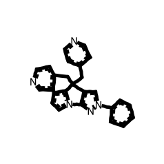 c1ccc(-n2cc3c(n2)-n2cccc2C3(Cc2ccncc2)Cc2ccncc2)cc1